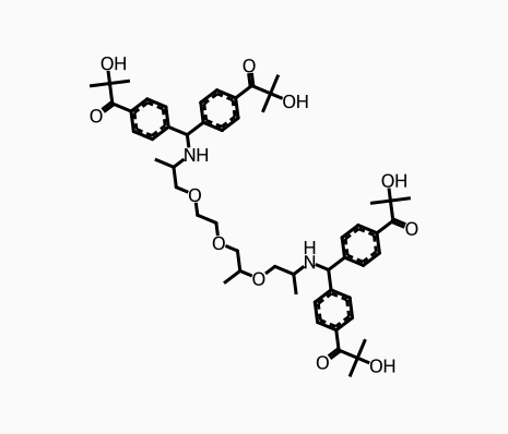 CC(COCCOCC(C)OCC(C)NC(c1ccc(C(=O)C(C)(C)O)cc1)c1ccc(C(=O)C(C)(C)O)cc1)NC(c1ccc(C(=O)C(C)(C)O)cc1)c1ccc(C(=O)C(C)(C)O)cc1